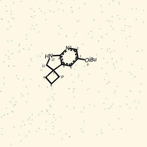 CC(C)COc1cnc2c(c1)C1(CCC1)CN2